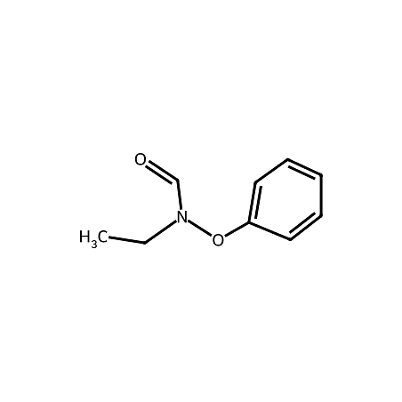 CCN(C=O)Oc1ccccc1